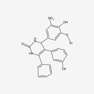 CCOc1cc(C2NC(=O)NC(c3ccccc3)=C2c2cccc(C#N)c2)cc([N+](=O)[O-])c1O